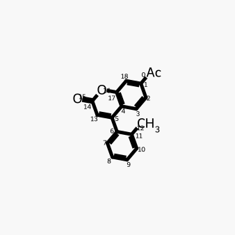 CC(=O)c1ccc2c(-c3ccccc3C)cc(=O)oc2c1